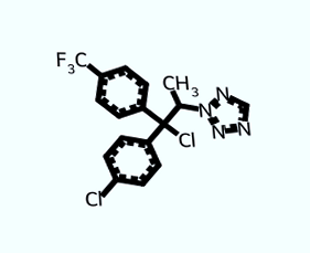 CC(n1ncnn1)C(Cl)(c1ccc(Cl)cc1)c1ccc(C(F)(F)F)cc1